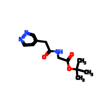 CC(C)(C)OC(=O)CNC(=O)Cc1ccnnc1